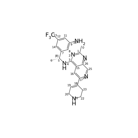 Cc1nc(N[C@H](C)c2cc(N)cc(C(F)(F)F)c2)c2cc(C3=CCNCC3)ncc2n1